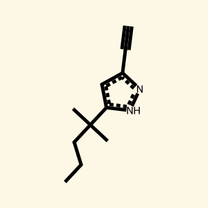 C#Cc1cc(C(C)(C)CCC)[nH]n1